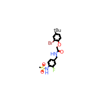 CC(C)(C)c1ccc(OCC(=O)NCc2ccc(NS(C)(=O)=O)c(F)c2)c(Br)c1